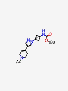 CC(=O)N1CC=C(c2cnn(C34CC(NC(=O)OC(C)(C)C)(C3)C4)c2)CC1